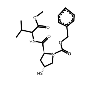 COC(=O)[C@@H](NC(=O)[C@@H]1C[C@@H](S)CN1C(=O)OCc1ccccc1)C(C)C